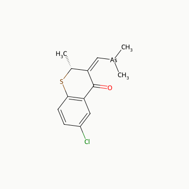 C[C@H]1Sc2ccc(Cl)cc2C(=O)C1=C[As](C)C